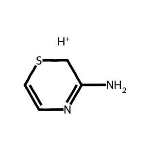 NC1=NC=CSC1.[H+]